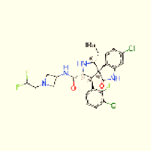 CC(C)(C)C[C@H]1N[C@@H](C(=O)NC2CN(CC(F)F)C2)[C@H](c2cccc(Cl)c2F)[C@@]12C(=O)Nc1cc(Cl)ccc12